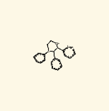 c1ccc(C2C(c3cccnn3)NCCN2c2ccccc2)cc1